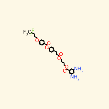 Nc1cc(N)cc(C(=O)OCCCCOC(=O)/C=C/c2ccc(OC(=O)c3ccc(OCCCC(F)(F)C(F)(F)F)cc3)cc2)c1